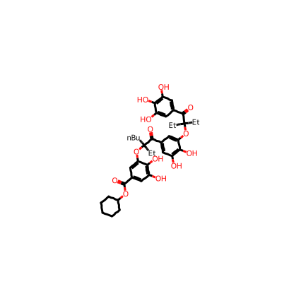 CCCCC(CC)(Oc1cc(C(=O)OC2CCCCC2)cc(O)c1O)C(=O)c1cc(O)c(O)c(OC(CC)(CC)C(=O)c2cc(O)c(O)c(O)c2)c1